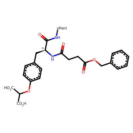 CCCCCNC(=O)[C@H](Cc1ccc(OC(C(=O)O)C(=O)O)cc1)NC(=O)CCC(=O)OCc1ccccc1